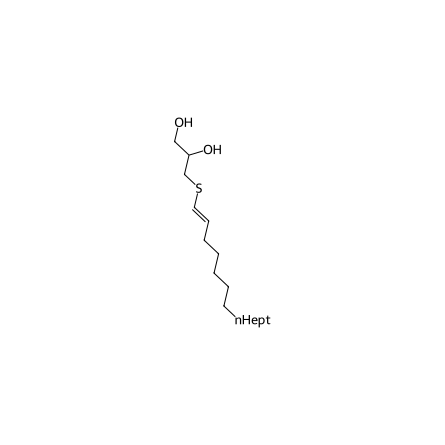 CCCCCCCCCCCCC=CSCC(O)CO